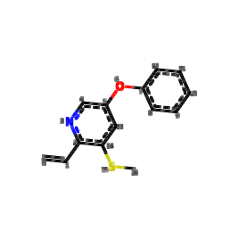 C=Cc1ncc(Oc2ccccc2)cc1SC